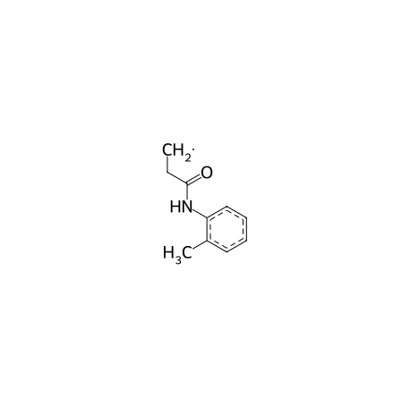 [CH2]CC(=O)Nc1ccccc1C